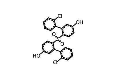 O=S(=O)(c1ccc(O)cc1-c1ccccc1Cl)c1ccc(O)cc1-c1ccccc1Cl